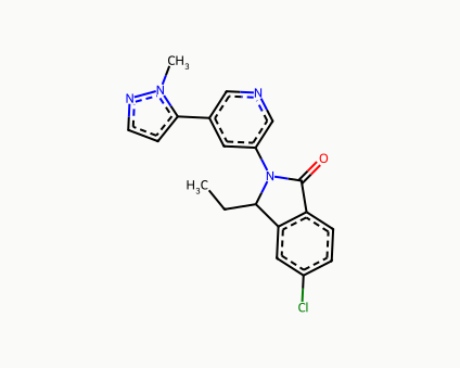 CCC1c2cc(Cl)ccc2C(=O)N1c1cncc(-c2ccnn2C)c1